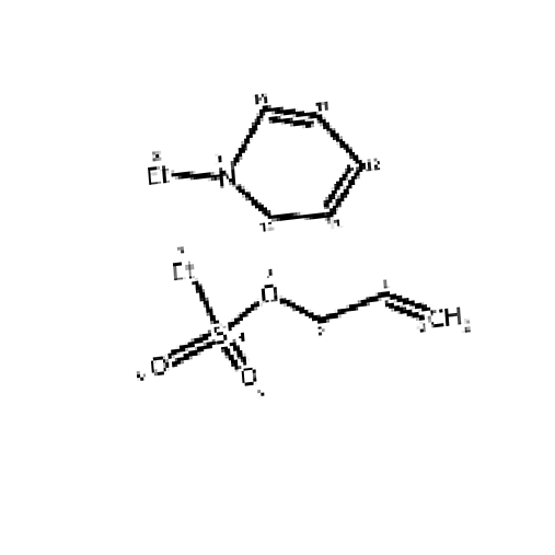 C=CCOS(=O)(=O)CC.CCN1C=CC=CC1